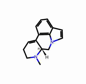 CN1CCC=C2c3cccc4ccn(c34)C[C@@H]21